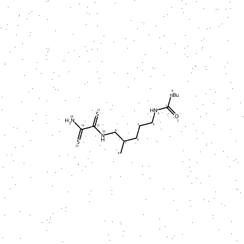 CCCCC(=O)NCCCC(C)CNC(=S)C(N)=S